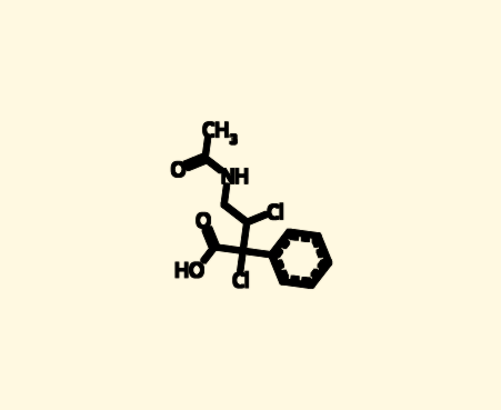 CC(=O)NCC(Cl)C(Cl)(C(=O)O)c1ccccc1